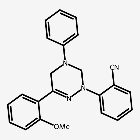 COc1ccccc1C1=NN(c2ccccc2C#N)CN(c2ccccc2)C1